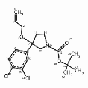 C=CCOC1(c2ccc(Cl)c(Cl)c2)CCN(C(=O)OC(C)(C)C)C1